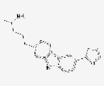 CC(N)CCCc1ccc2c(n1)[nH]c1ccc(-c3ccco3)cc12